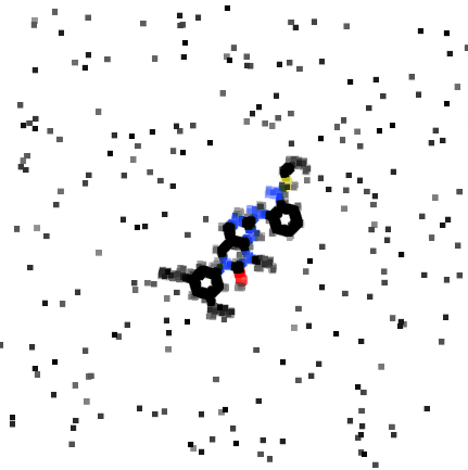 C=CSNc1ccccc1Nc1ncc2c(n1)N(C)C(=O)N(c1cc(OC)cc(OC)c1)C2